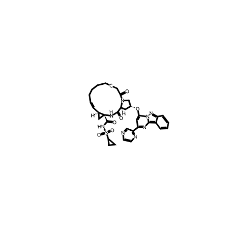 O=C1N[C@]2(C(=O)NS(=O)(=O)C3CC3)C[C@H]2/C=C\CCCCCCC(=O)N2C[C@H](Oc3cc(-c4cnccn4)nc4c5ccccc5nn34)C[C@@H]12